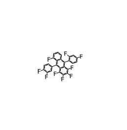 Fc1ccc(-c2c3cccc(F)c3c(-c3ccc(F)c(F)c3)c3c(F)c(F)c(F)c(F)c23)c(F)c1